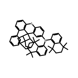 CC1(C)CCC(C)(C)c2c(N(c3ccc4c(c3)C3(c5c(cccc5-c5ccccc5)S4)C4CC5CC6CC3C64C5)c3cccc4c3C(C)(C)CCC4(C)C)cccc21